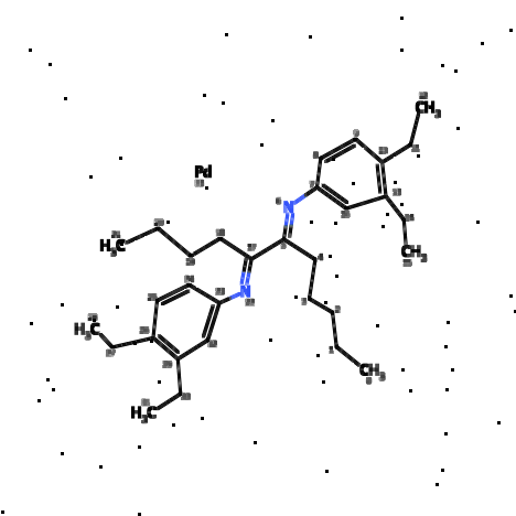 CCCCCC(=Nc1ccc(CC)c(CC)c1)C(CCCC)=Nc1ccc(CC)c(CC)c1.[Pd]